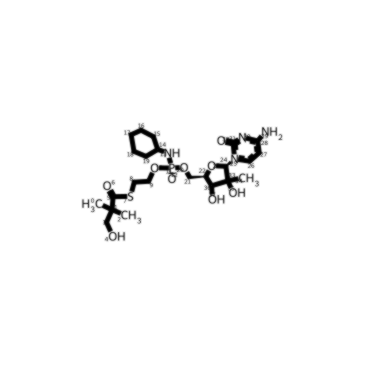 CC(C)(CO)C(=O)SCCOP(=O)(NC1CCCCC1)OC[C@H]1O[C@@H](n2ccc(N)nc2=O)C(C)(O)C1O